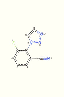 N#Cc1cccc(F)c1-n1ccnn1